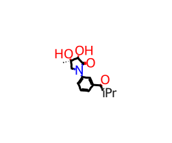 CC(C)C(=O)c1cccc(N2C[C@@](C)(O)[C@@H](O)C2=O)c1